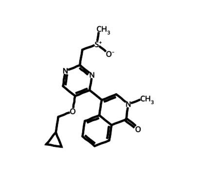 Cn1cc(-c2nc(C[S+](C)[O-])ncc2OCC2CC2)c2ccccc2c1=O